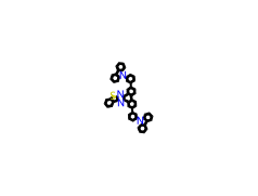 c1cc(-c2ccc3c4ccc(-c5cccc(-n6c7ccccc7c7ccccc76)c5)cc4c4nc5c(nc4c3c2)sc2ccccc25)cc(-n2c3ccccc3c3ccccc32)c1